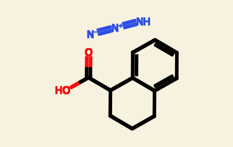 O=C(O)C1CCCc2ccccc21.[N-]=[N+]=N